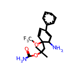 CC(C)(CC1(OC(F)(F)F)C=CC(c2ccccc2)=CC1N)OC(N)=O